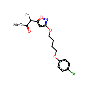 COC(=O)C(c1cc(OCCCCOc2ccc(Br)cc2)no1)C(C)C